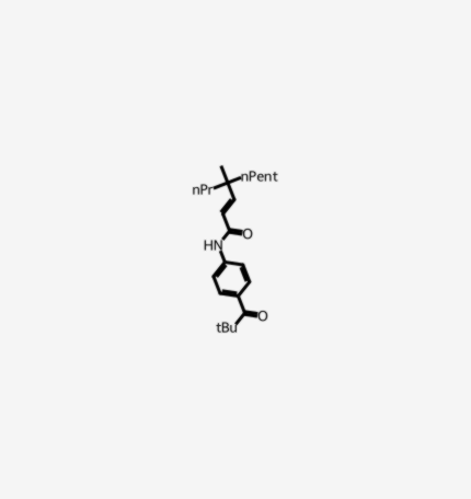 CCCCCC(C)(/C=C/C(=O)Nc1ccc(C(=O)C(C)(C)C)cc1)CCC